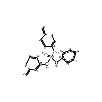 C=C/C=C\C(=C/C)OP(=O)(OC(/C=C\C)=C/C=C)Oc1ccccc1